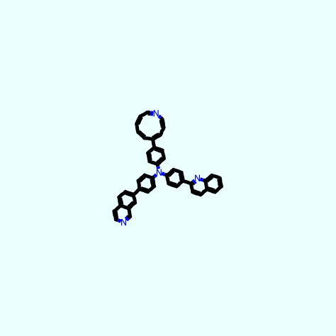 c1ccncccc(-c2ccc(N(c3ccc(-c4ccc5ccncc5c4)cc3)c3ccc(-c4ccc5ccccc5n4)cc3)cc2)cc1